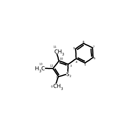 Cc1sc(-c2ccccc2)c(C)c1C